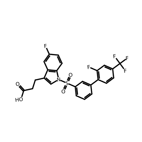 O=C(O)CCc1cn(S(=O)(=O)c2cccc(-c3ccc(C(F)(F)F)cc3F)c2)c2ccc(F)cc12